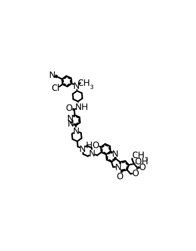 CC[C@@]1(O)C(=O)OCc2c1cc1n(c2=O)Cc2cc3c(CN4CCN(CC5CCN(c6ccc(C(=O)N[C@H]7CC[C@H](N(C)c8ccc(C#N)c(Cl)c8)CC7)nn6)CC5)CC4)c(O)ccc3nc2-1